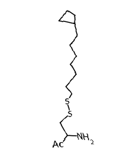 CC(=O)C(N)CSSCCCCCCCC1CCC1